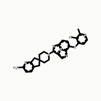 Cc1nccc(Sc2ccc3nc(N4CCC5(CC4)Cc4ccc(N)nc4C5)c4cnc2n34)c1Cl